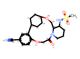 CS(=O)(=O)NC1CCCN2C(=O)COc3ccc(C#N)cc3C3CCC(CC3)OCC12